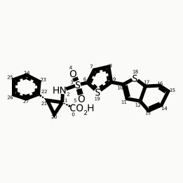 O=C(O)[C@]1(NS(=O)(=O)c2ccc(C3=CC4C=CC=CC4S3)s2)C[C@@H]1c1ccccc1